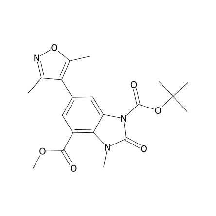 COC(=O)c1cc(-c2c(C)noc2C)cc2c1n(C)c(=O)n2C(=O)OC(C)(C)C